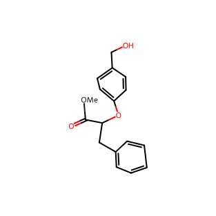 COC(=O)C(Cc1ccccc1)Oc1ccc(CO)cc1